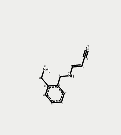 N#CC=CNCc1ccccc1CN